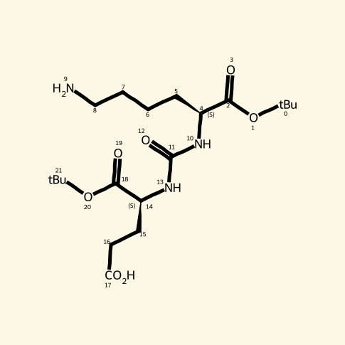 CC(C)(C)OC(=O)[C@H](CCCCN)NC(=O)N[C@@H](CCC(=O)O)C(=O)OC(C)(C)C